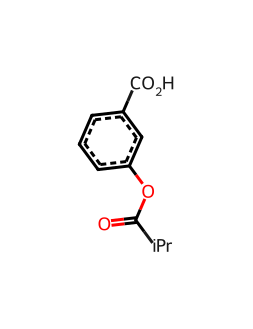 CC(C)C(=O)Oc1cccc(C(=O)O)c1